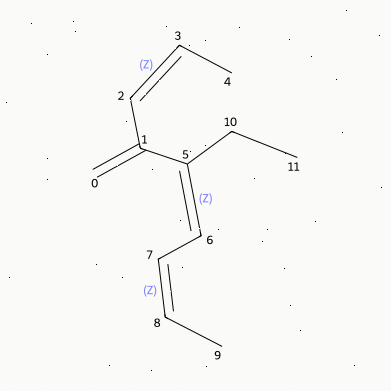 C=C(/C=C\C)/C(=C\C=C/C)CC